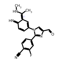 CN/C(C)=C1/C=C(n2cc(C=O)nc2-c2ccc(C#N)c(F)c2)C=CC1=N